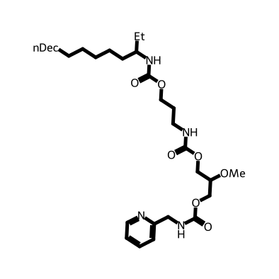 CCCCCCCCCCCCCCCC(CC)NC(=O)OCCCNC(=O)OCC(COC(=O)NCc1ccccn1)OC